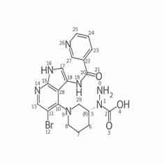 NN(C(=O)O)[C@@H]1CCCN(c2c(Br)cnc3[nH]cc(NC(=O)c4cccnc4)c23)C1